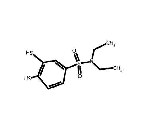 CCN(CC)S(=O)(=O)c1ccc(S)c(S)c1